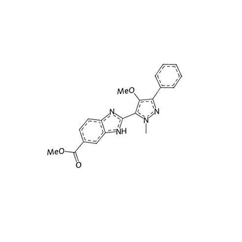 COC(=O)c1ccc2nc(-c3c(OC)c(-c4ccccc4)nn3C)[nH]c2c1